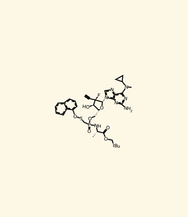 C#C[C@@]1(F)[C@H](O)[C@@H](COP(=O)(CSOc2cccc3ccccc23)N[C@@H](C)C(=O)OCC(C)(C)C)O[C@H]1n1cnc2c(N(C)C3CC3)nc(N)nc21